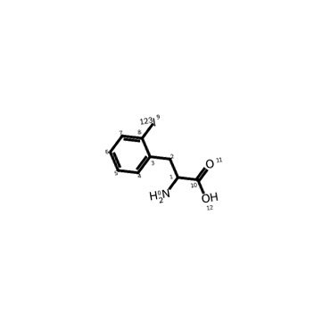 NC(Cc1ccccc1[123I])C(=O)O